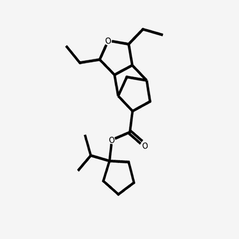 CCC1OC(CC)C2C3CC(CC3C(=O)OC3(C(C)C)CCCC3)C12